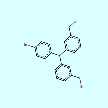 BrCc1cccc(C(c2ccc(Br)cc2)c2cccc(CBr)c2)c1